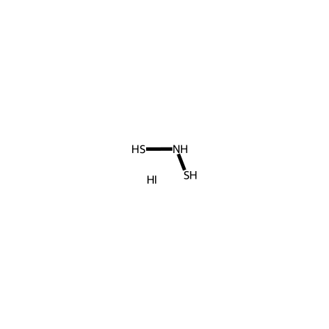 I.SNS